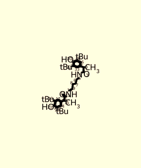 CC(C(=O)NCCCCCCNC(=O)C(C)c1cc(C(C)(C)C)c(O)c(C(C)(C)C)c1)c1cc(C(C)(C)C)c(O)c(C(C)(C)C)c1